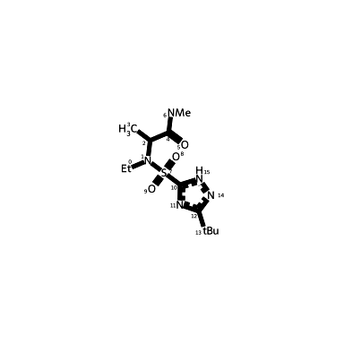 CCN(C(C)C(=O)NC)S(=O)(=O)c1nc(C(C)(C)C)n[nH]1